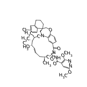 COc1cc(C(=O)NS2(=O)=NC(=O)c3ccc4c(c3)N(C[C@H](C)[C@@H](C)[C@@H](OC)/C=C/C[C@H](C)C2)C[C@@]2(CCCc3cc(Cl)ccc32)CO4)c(OC)nn1